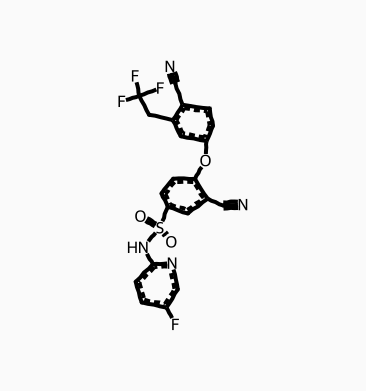 N#Cc1ccc(Oc2ccc(S(=O)(=O)Nc3ccc(F)cn3)cc2C#N)cc1CC(F)(F)F